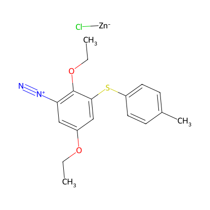 CCOc1cc([N+]#N)c(OCC)c(Sc2ccc(C)cc2)c1.[Cl][Zn-]